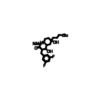 CNC(=O)C(Cc1cc(F)cc(F)c1)C(O)C1CC(O)(CCCC(C)(C)C)CCN1